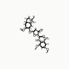 COc1cc(OC)c(NC(=O)C2OC(Oc3cc4c(cc3OC)C=C[Si]4(C)C)=CC2=O)c(OC)c1